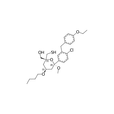 CCCCO[C@H]1C[C@](CO)(CS)O[C@@](OC)(c2ccc(Cl)c(Cc3ccc(OCC)cc3)c2)C1